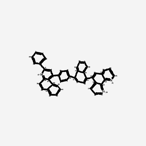 c1ccc(-c2cc(-c3ccc(-c4ccc(-c5cc6cccnc6c6ncccc56)c5ccccc45)cc3)c3c(ccc4ccccc43)n2)cc1